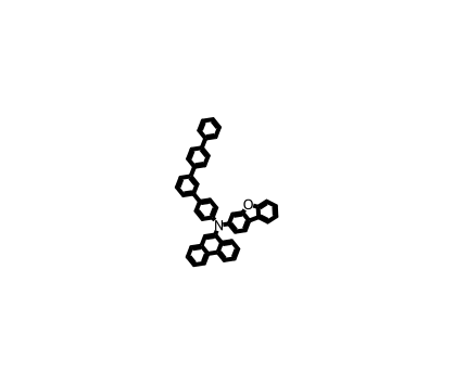 c1ccc(-c2ccc(-c3cccc(-c4ccc(N(c5ccc6c(c5)oc5ccccc56)c5cc6ccccc6c6ccccc56)cc4)c3)cc2)cc1